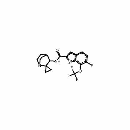 O=C(NC1C2CCN(CC2)C12CC2)c1cc2ccc(F)c(OC(F)(F)F)c2s1